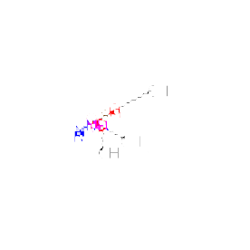 CCCCCCCCCCCCCOC(=O)CCSCCC(C(=O)NCCCn1ccnc1)C(=O)OC(CCCCCCCC)CCCCCCCC